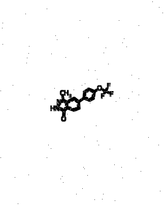 Cc1n[nH]c(=O)c2ccc(-c3ccc(OC(F)(F)F)cc3)cc12